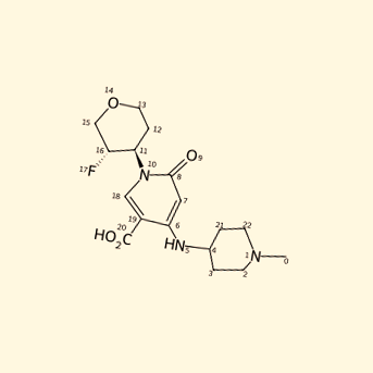 CN1CCC(Nc2cc(=O)n([C@@H]3CCOC[C@H]3F)cc2C(=O)O)CC1